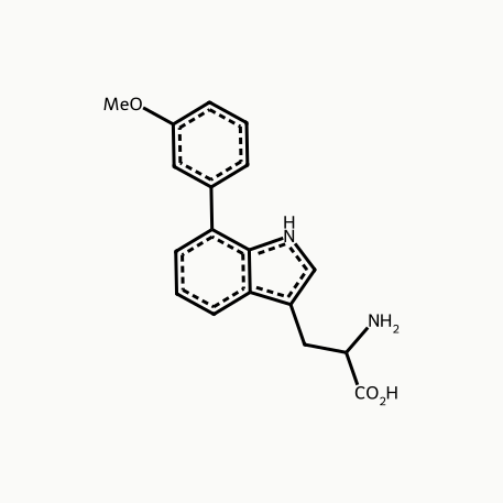 COc1cccc(-c2cccc3c(CC(N)C(=O)O)c[nH]c23)c1